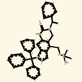 CC(c1ccccc1)N1Cc2c(cc3c(cnn3C(c3ccccc3)(c3ccccc3)c3ccccc3)c2CO[Si](C)(C)C(C)(C)C)NC1=O